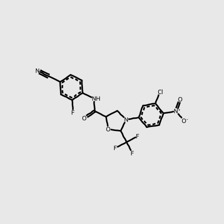 N#Cc1ccc(NC(=O)C2CN(c3ccc([N+](=O)[O-])c(Cl)c3)C(C(F)(F)F)O2)c(F)c1